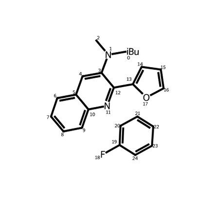 CCC(C)N(C)c1cc2ccccc2nc1-c1ccco1.Fc1ccccc1